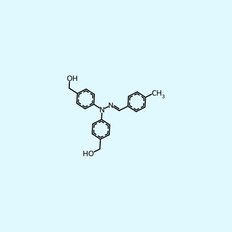 Cc1ccc(C=NN(c2ccc(CO)cc2)c2ccc(CO)cc2)cc1